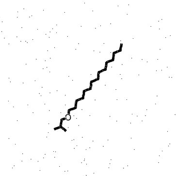 CCCCCCCCCCCCCCCOCC(C)C